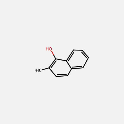 [CH]c1ccc2ccccc2c1O